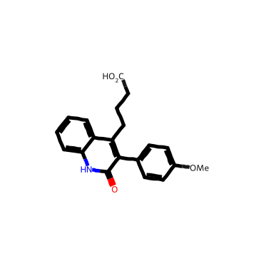 COc1ccc(-c2c(CCCC(=O)O)c3ccccc3[nH]c2=O)cc1